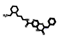 CCC1CCCCN1CCCNC(=O)c1cc2c(cn1)S/C(=C\c1ccccc1)C(=O)N2